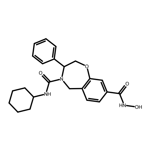 O=C(NO)c1ccc2c(c1)OCC(c1ccccc1)N(C(=O)NC1CCCCC1)C2